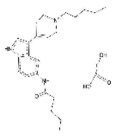 CCCCCN1CC=C(c2c[nH]c3ccc(NC(=O)CCCC)cc23)CC1.O=C(O)CO